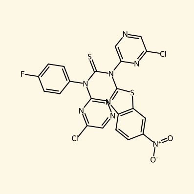 O=[N+]([O-])c1ccc2nc(N(C(=S)N(c3ccc(F)cc3)c3cncc(Cl)n3)c3cncc(Cl)n3)sc2c1